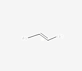 [CH2]CC/C=C/C(C)C